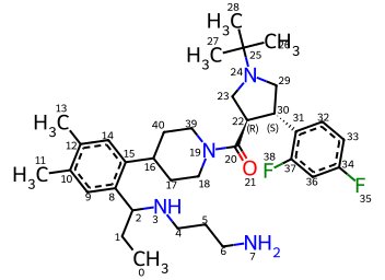 CCC(NCCCN)c1cc(C)c(C)cc1C1CCN(C(=O)[C@H]2CN(C(C)(C)C)C[C@@H]2c2ccc(F)cc2F)CC1